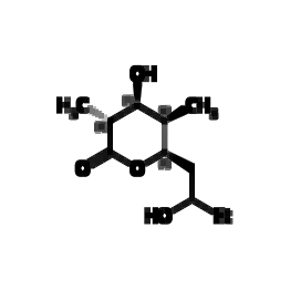 CCC(O)C[C@H]1OC(=O)[C@H](C)[C@@H](O)[C@H]1C